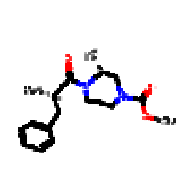 CC[C@@H](C)C1CN(C(=O)OC(C)(C)C)CCN1C(=O)[C@H](Cc1ccccc1)NC